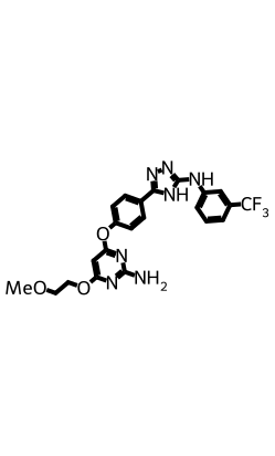 COCCOc1cc(Oc2ccc(-c3nnc(Nc4cccc(C(F)(F)F)c4)[nH]3)cc2)nc(N)n1